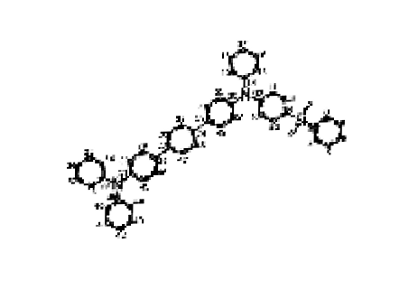 C[Si](C)(c1ccccc1)c1ccc(N(c2ccccc2)c2ccc(-c3ccc(-c4ccc(N(c5ccccc5)c5ccccc5)cc4)cc3)cc2)cc1